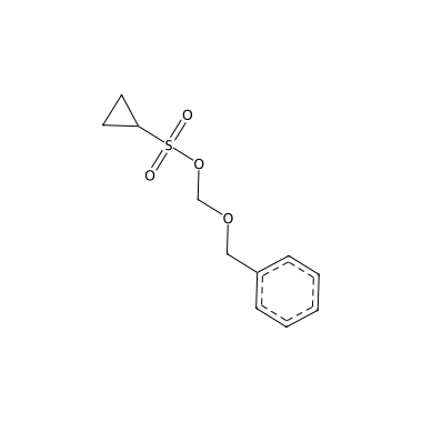 O=S(=O)(OCOCc1ccccc1)C1CC1